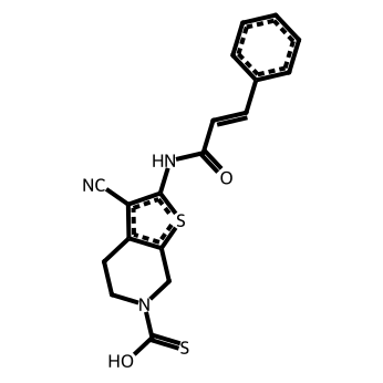 N#Cc1c(NC(=O)C=Cc2ccccc2)sc2c1CCN(C(O)=S)C2